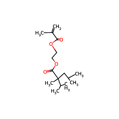 C=C(C)C(=O)OCCOC(=O)C(C)(CC(C)C)C(C)C